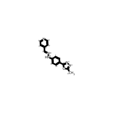 Cc1nnc(-c2ccc(NN=Cc3ccncc3)cc2)o1